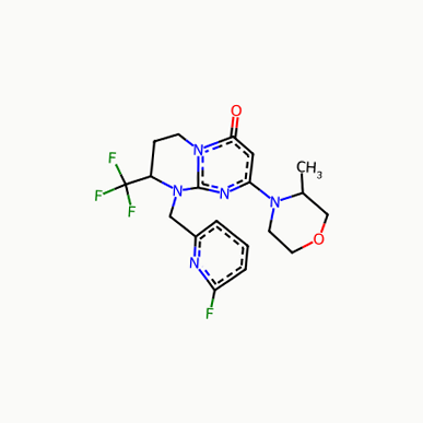 CC1COCCN1c1cc(=O)n2c(n1)N(Cc1cccc(F)n1)C(C(F)(F)F)CC2